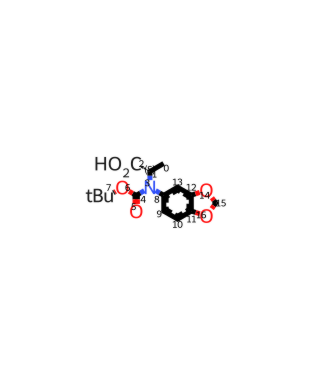 C[C@@H](C(=O)O)N(C(=O)OC(C)(C)C)c1ccc2c(c1)OCO2